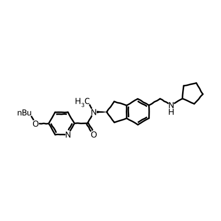 CCCCOc1ccc(C(=O)N(C)[C@@H]2Cc3ccc(CNC4CCCC4)cc3C2)nc1